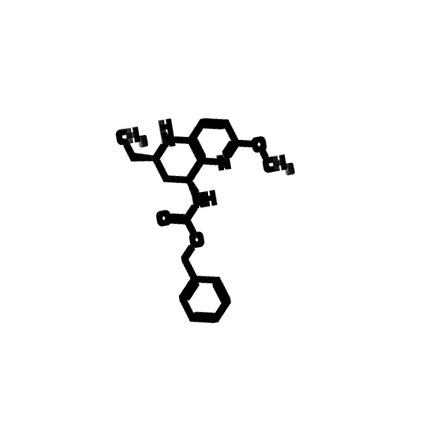 CC[C@@H]1C[C@H](NC(=O)OCc2ccccc2)c2nc(OC)ccc2N1